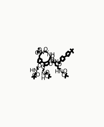 COC(=O)[C@@H]1Cc2ccc(OCCNC(=O)OC(C)(C)C)c(c2)-c2cc(ccc2OCCNC(=O)OC(C)(C)C)[C@H](N(C)C(=O)C(CCCCNC(=O)OC(C)(C)C)NC(=O)c2ccc(-c3ccc(C(C)(C)C)cc3)cc2)C(=O)N[C@@H](C)C(=O)N1